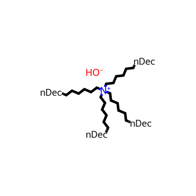 CCCCCCCCCCCCCCCC[N+](CCCCCCCCCCCCCCCC)(CCCCCCCCCCCCCCCC)CCCCCCCCCCCCCCCC.[OH-]